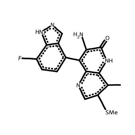 CSc1cnc2c(-c3ccc(F)c4[nH]ncc34)c(N)c(=O)[nH]c2c1C